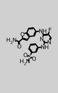 NC(=O)c1cc2cc(Nc3nc(Nc4cccc(S(N)(=O)=O)c4)ncc3F)ccc2o1